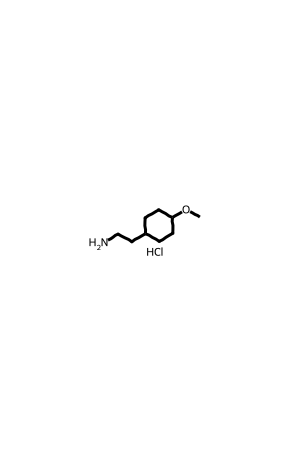 COC1CCC(CCN)CC1.Cl